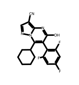 N#Cc1cnn2c(C3CCCCC3)c(-c3c(F)cc(F)cc3F)c(O)nc12